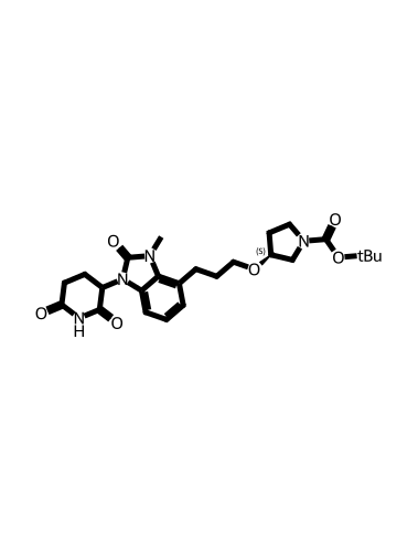 Cn1c(=O)n(C2CCC(=O)NC2=O)c2cccc(CCCO[C@H]3CCN(C(=O)OC(C)(C)C)C3)c21